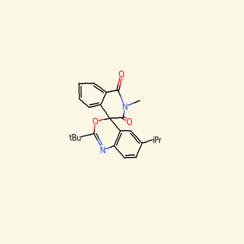 CC(C)c1ccc2c(c1)C1(OC(C(C)(C)C)=N2)C(=O)N(C)C(=O)c2ccccc21